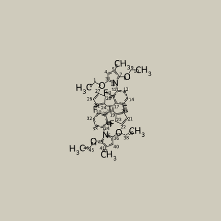 CCOc1cc(C)c(OCC)n1-c1ccc(F)[c]([Ti]([C]2=CC=CC2)([C]2=CC=CC2)[c]2c(F)ccc(-n3c(OCC)cc(C)c3OCC)c2F)c1F